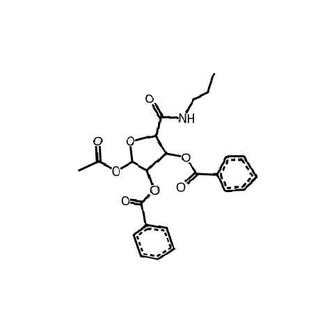 CCCNC(=O)C1OC(OC(C)=O)C(OC(=O)c2ccccc2)C1OC(=O)c1ccccc1